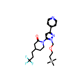 C[Si](C)(C)CCOCn1nc(-c2ccncc2)cc1N1CCC(CCC(F)(F)F)CC1=O